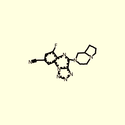 N#Cc1cc(F)c2nc(N3CCN4CCCC4C3)c3nnnn3c2c1